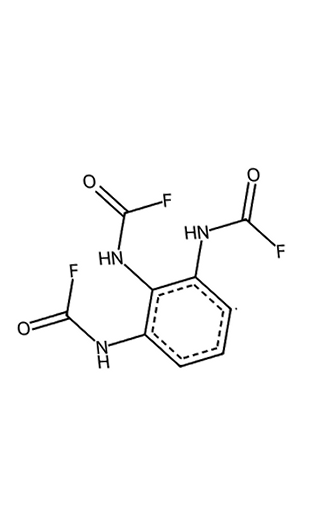 O=C(F)Nc1[c]ccc(NC(=O)F)c1NC(=O)F